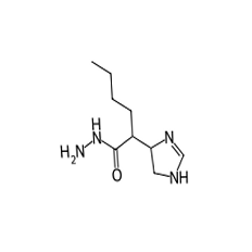 CCCCC(C(=O)NN)C1CNC=N1